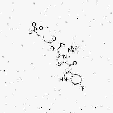 CC[C@H](OC(=O)CCCP(=O)([O-])[O-])c1csc(C(=O)c2c[nH]c3cc(F)ccc23)n1.[Na+].[Na+]